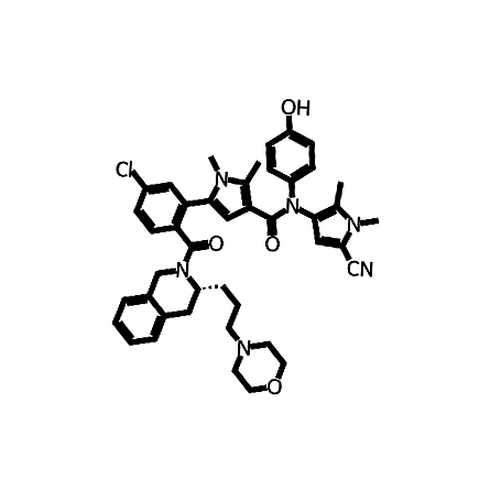 Cc1c(N(C(=O)c2cc(-c3cc(Cl)ccc3C(=O)N3Cc4ccccc4C[C@H]3CCCN3CCOCC3)n(C)c2C)c2ccc(O)cc2)cc(C#N)n1C